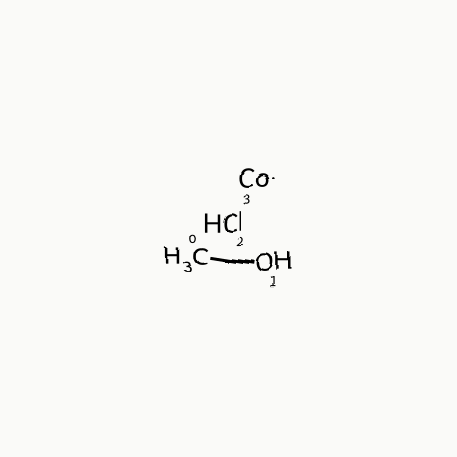 CO.Cl.[Co]